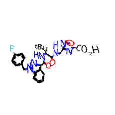 CC(C)(C)[C@H](NC(=O)c1nn(Cc2ccc(F)cc2)c2ccccc12)C(=O)NCc1noc(C(=O)O)n1